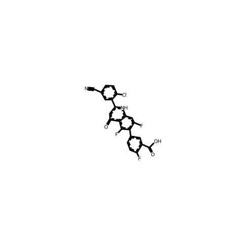 N#Cc1ccc(Cl)c(-c2cc(=O)c3c(F)c(-c4ccc(F)c(C(=O)O)c4)c(F)cc3[nH]2)c1